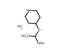 CCCCCCC(OC1CCNCC1)C(=O)O.Cl